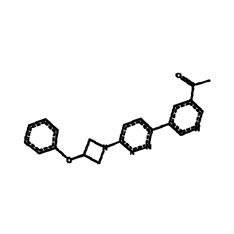 CC(=O)c1cncc(-c2ccc(N3CC(Oc4ccccc4)C3)nn2)c1